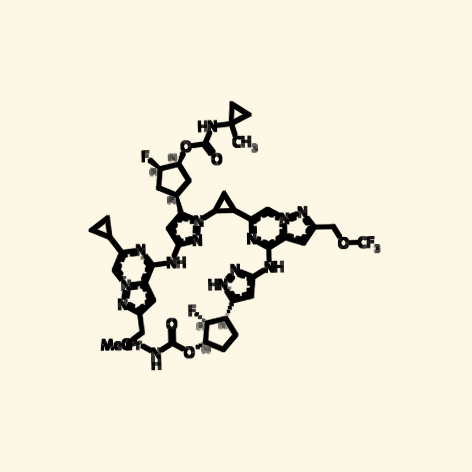 COCc1cc2c(Nc3cc([C@H]4C[C@@H](F)[C@@H](OC(=O)NC5(C)CC5)C4)n(C4CC4c4cn5nc(COC(F)(F)F)cc5c(Nc5cc([C@@H]6CC[C@H](OC(=O)NC(C)C)[C@@H]6F)[nH]n5)n4)n3)nc(C3CC3)cn2n1